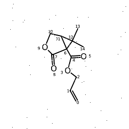 C=CCOC(=O)C12C(=O)OCC1C2(C)C